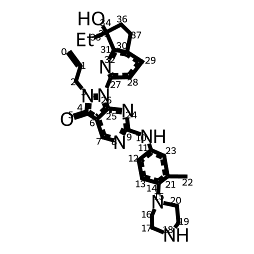 C=CCn1c(=O)c2cnc(Nc3ccc(N4CCNCC4)c(C)c3)nc2n1-c1ccc2c(n1)C(O)(CC)CC2